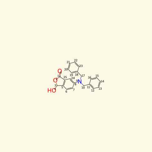 O=C1OC(O)c2ccc(N(Cc3ccccc3)Cc3ccccc3)cc21